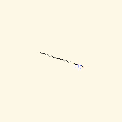 CCCCCCCCCCCCCCCCCCSC[C@@H](N)C(=O)NCC(=O)O